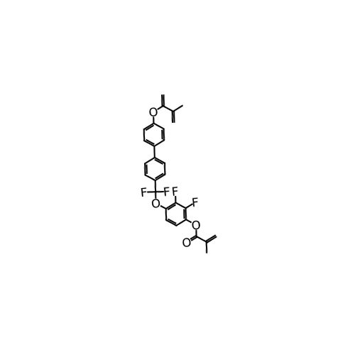 C=C(C)C(=C)Oc1ccc(-c2ccc(C(F)(F)Oc3ccc(OC(=O)C(=C)C)c(F)c3F)cc2)cc1